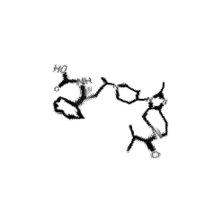 Cc1nc2c(n1C1CCN(C(C)C[C@H](NC(=O)O)c3ccccc3)CC1)CN(C(=O)C(C)C)CC2